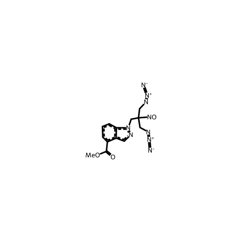 COC(=O)c1cccc2c1cnn2CC(CN=[N+]=[N-])(CN=[N+]=[N-])N=O